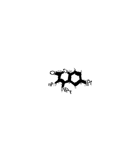 CCCc1c(CCC)c2cc(C(C)C)ccc2oc1=O